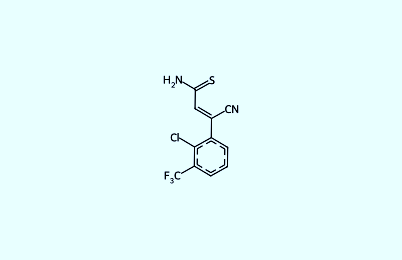 N#CC(=CC(N)=S)c1cccc(C(F)(F)F)c1Cl